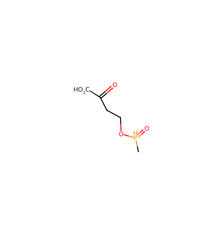 C[PH](=O)OCCC(=O)C(=O)O